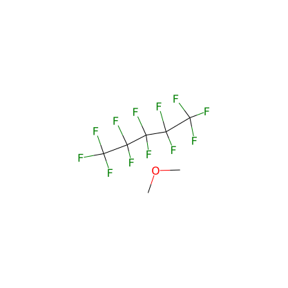 COC.FC(F)(F)C(F)(F)C(F)(F)C(F)(F)C(F)(F)F